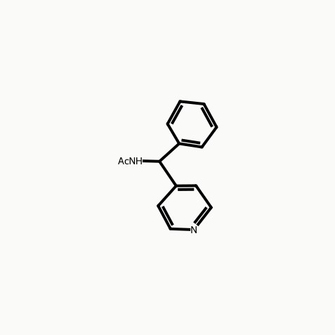 CC(=O)NC(c1ccccc1)c1ccncc1